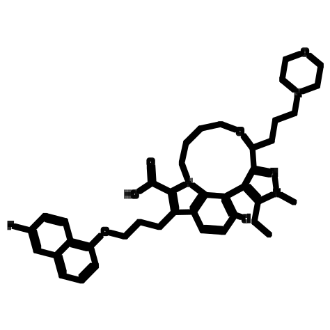 CCc1c2c(nn1C)C(CCCN1CCOCC1)OCCCCn1c(C(=O)O)c(CCCOc3cccc4cc(F)ccc34)c3ccc(Cl)c-2c31